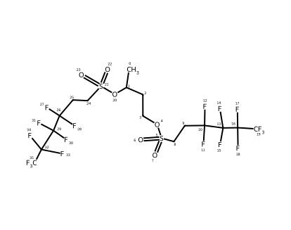 CC(CCOS(=O)(=O)CCC(F)(F)C(F)(F)C(F)(F)C(F)(F)F)OS(=O)(=O)CCC(F)(F)C(F)(F)C(F)(F)C(F)(F)F